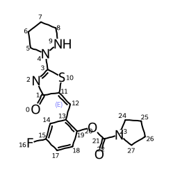 O=C1N=C(N2CCCCN2)S/C1=C/c1cc(F)ccc1OC(=O)N1CCCC1